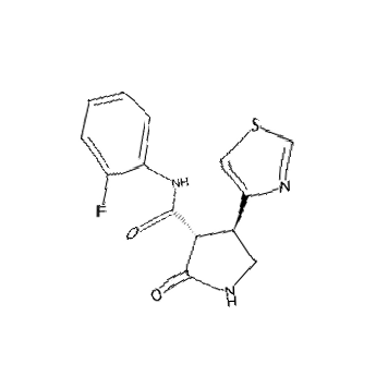 O=C1NC[C@H](c2cscn2)[C@H]1C(=O)Nc1ccccc1F